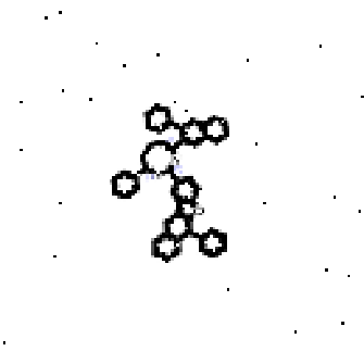 C1=C(c2cc3ccccc3cc2-c2ccccc2)/N=C(c2ccc3oc4c(-c5ccccc5)c5ccccc5cc4c3c2)\N=C(\c2ccccc2)CC\1